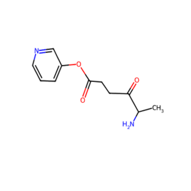 CC(N)C(=O)CCC(=O)Oc1cccnc1